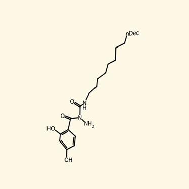 CCCCCCCCCCCCCCCCCCNC(=O)N(N)C(=O)c1ccc(O)cc1O